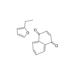 CCc1ccco1.O=C1C=CC(=O)c2ccccc21